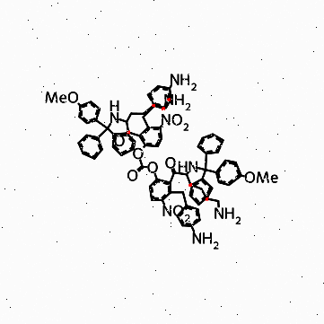 COc1ccc(C(NC(CCCCN)C(=O)c2c(OC(=O)Oc3ccc([N+](=O)[O-])c(Cc4ccc(N)cc4)c3C(=O)C(CCCCN)NC(c3ccccc3)(c3ccccc3)c3ccc(OC)cc3)ccc([N+](=O)[O-])c2Cc2ccc(N)cc2)(c2ccccc2)c2ccccc2)cc1